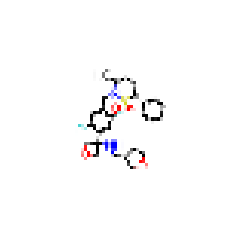 C[C@H]1CC[C@H](c2ccccc2)S(=O)(=O)N1Cc1cc(F)c(C2(NCC3CCOC3)COC2)cc1F